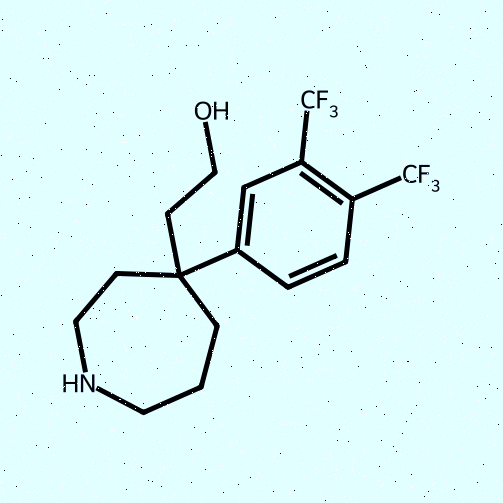 OCCC1(c2ccc(C(F)(F)F)c(C(F)(F)F)c2)CCCNCC1